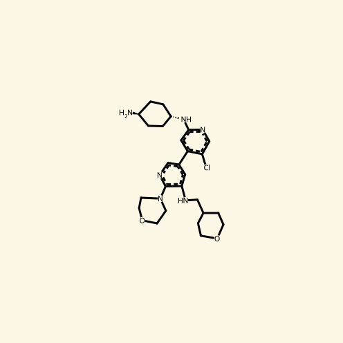 N[C@H]1CC[C@H](Nc2cc(-c3cnc(N4CCOCC4)c(NCC4CCOCC4)c3)c(Cl)cn2)CC1